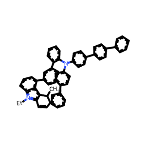 CCn1c2c(c3c(-c4cccc(-c5ccccc5N(c5ccc(-c6ccccc6)cc5)c5ccc(-c6ccc(-c7ccccc7)cc6)cc5)c4)cccc31)C(C)CC=C2